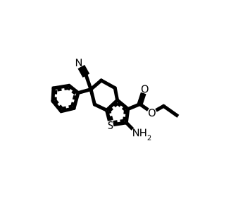 CCOC(=O)c1c(N)sc2c1CCC(C#N)(c1ccccc1)C2